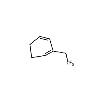 FC(F)(F)CC1=CCCC=C1